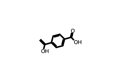 C=C(O)c1ccc(C(=O)O)cc1